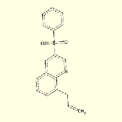 C=CCc1cccc2cc(S(=O)(=O)c3ccccc3)cnc12